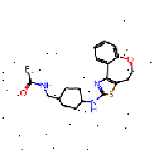 CCC(=O)NCC1CCC(Nc2nc3c(s2)CCOc2ccccc2-3)CC1